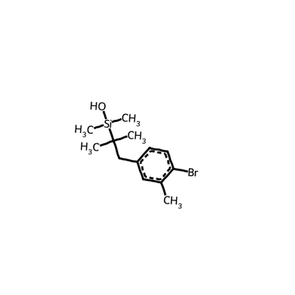 Cc1cc(CC(C)(C)[Si](C)(C)O)ccc1Br